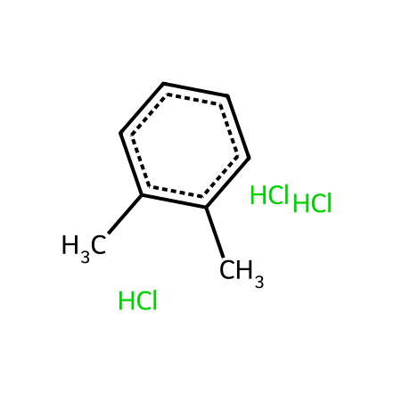 Cc1ccccc1C.Cl.Cl.Cl